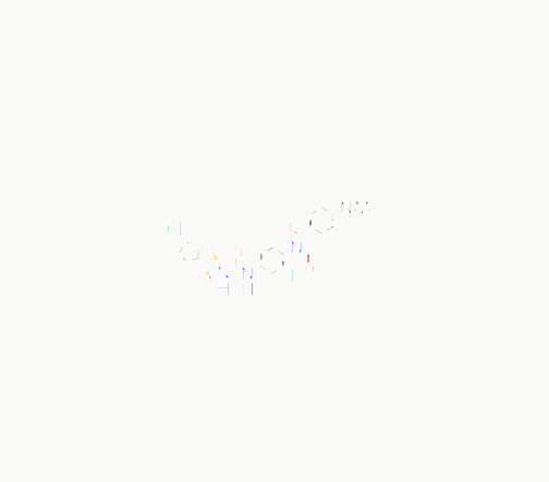 CNc1cc2c(cc1I)C(=O)N(c1ccc(NC(=O)NS(=O)(=O)c3ccc(Cl)s3)cc1F)C(=O)C2